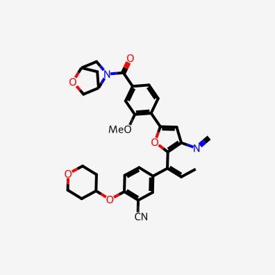 C=Nc1cc(-c2ccc(C(=O)N3CC4CC3CO4)cc2OC)oc1/C(=C\C)c1ccc(OC2CCOCC2)c(C#N)c1